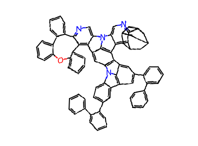 c1ccc(-c2ccccc2-c2ccc3c(c2)c2cc(-c4ccccc4-c4ccccc4)cc4c5c6c7c8c(ncc7n7c9cnc%10c%11ccccc%11c%11ccccc%11oc%11ccccc%11c%10c9c(cc5n3c24)c67)C2CC3CC(C2)CC8C3)cc1